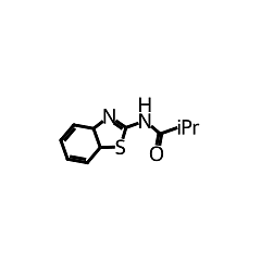 CC(C)C(=O)NC1=NC2C=CC=CC2S1